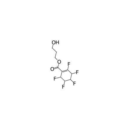 O=C(OCCCO)C1=C(F)C(F)C(F)C(F)C1F